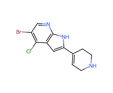 Clc1c(Br)cnc2[nH]c(C3=CCNCC3)cc12